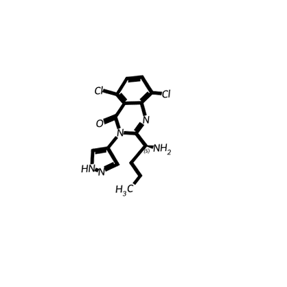 CCC[C@H](N)c1nc2c(Cl)ccc(Cl)c2c(=O)n1-c1cn[nH]c1